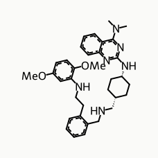 COc1ccc(OC)c(NCCc2ccccc2CNC[C@H]2CC[C@@H](Nc3nc(N(C)C)c4ccccc4n3)CC2)c1